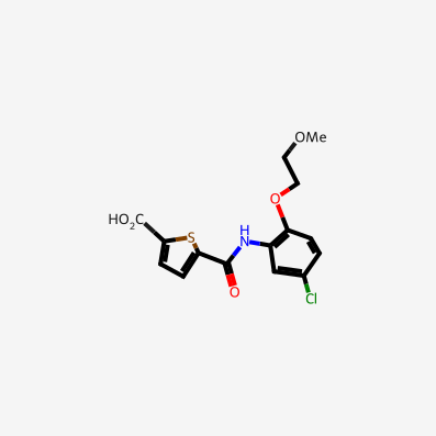 COCCOc1ccc(Cl)cc1NC(=O)c1ccc(C(=O)O)s1